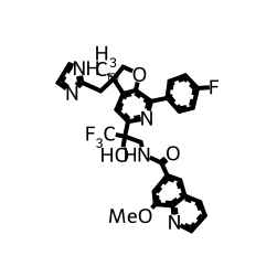 COc1cc(C(=O)NCC(O)(c2cc3c(c(-c4ccc(F)cc4)n2)OC[C@]3(C)Cc2ncc[nH]2)C(F)(F)F)cc2cccnc12